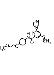 COCCOC1CCC(NC(=O)c2cc(SC)cc(-n3ccnc3)n2)CC1